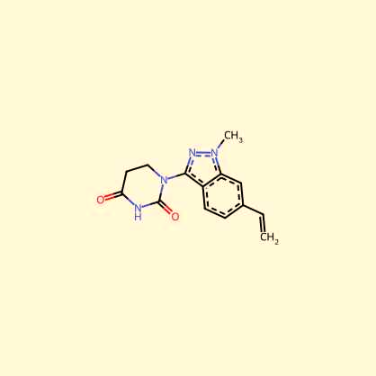 C=Cc1ccc2c(N3CCC(=O)NC3=O)nn(C)c2c1